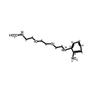 O=C(O)NCCOCCOCCNc1ccccc1[N+](=O)[O-]